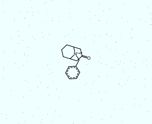 C[N+]1(Cc2ccccc2)C2CCCC1CC(=O)C2